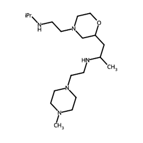 CC(C)NCCN1CCOC(CC(C)NCCN2CCN(C)CC2)C1